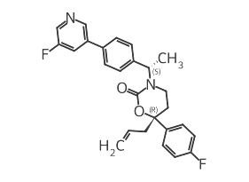 C=CC[C@]1(c2ccc(F)cc2)CCN([C@@H](C)c2ccc(-c3cncc(F)c3)cc2)C(=O)O1